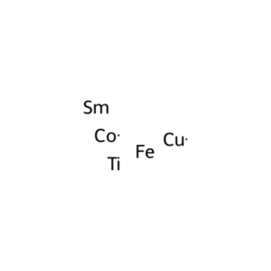 [Co].[Cu].[Fe].[Sm].[Ti]